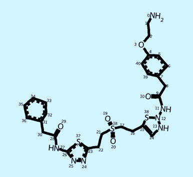 NCCOc1ccc(CC(=O)NN2NC=C(CCS(=O)(=O)CCc3nnc(NC(=O)Cc4ccccc4)s3)S2)cc1